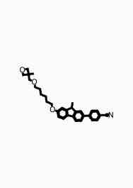 CC1c2cc(OCCCCCCOCC3(C)COC3)ccc2-c2ccc(-c3ccc(C#N)cc3)cc21